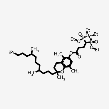 CCOP(=O)(OCC)C(CCC(=O)Oc1cc(C)c2c(c1C)CCC(C)(CCCC(C)CCCC(C)CCCC(C)C)O2)P(=O)(OCC)OCC